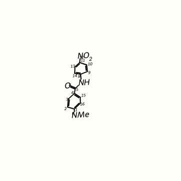 CNc1ccc(C(=O)Nc2ccc([N+](=O)[O-])cc2)cc1